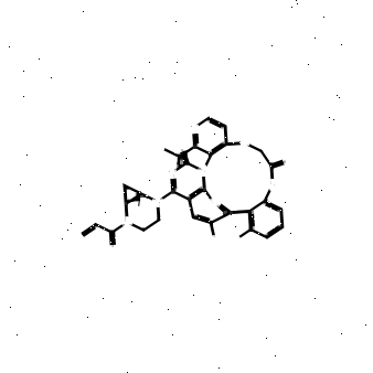 C=CC(=O)N1CCN(c2nc(=O)n3c4nc(c(Cl)cc24)-c2c(F)cccc2NC(=O)CSc2ccnc(C(C)C)c2-3)[C@H]2C[C@H]21